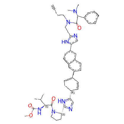 C#CCCN(Cc1ncc(-c2ccc3cc(C4=CC[C@@H](c5cnc([C@@H]6CCCN6C(=O)[C@@H](NC(=O)OC)C(C)C)[nH]5)C=C4)ccc3c2)[nH]1)C(=O)C(c1ccccc1)N(C)C